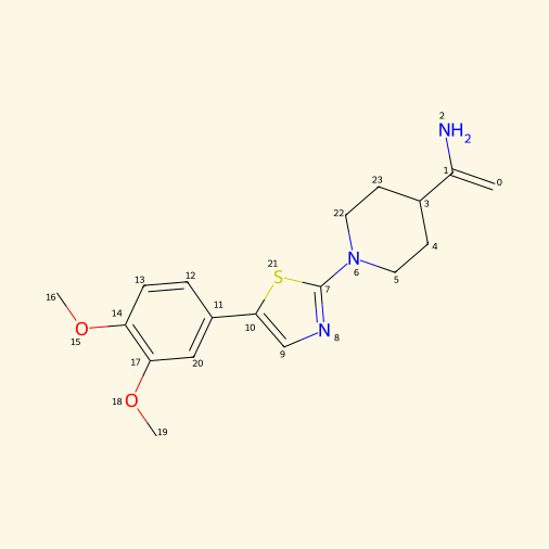 C=C(N)C1CCN(c2ncc(-c3ccc(OC)c(OC)c3)s2)CC1